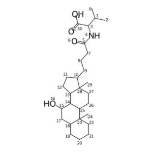 CC(C)C(NC(=O)CCCC1CCC2C3C(O)CC4CCCCC4(C)C3CCC12C)C(=O)O